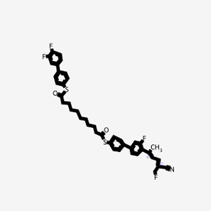 C/C(=C\C=C(\C#N)CF)c1ccc(-c2ccc(SC(=O)CCCCCCCCCC(=O)Sc3ccc(-c4ccc(F)c(F)c4)cc3)cc2)cc1F